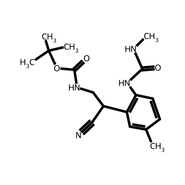 CNC(=O)Nc1ccc(C)cc1C(C#N)CNC(=O)OC(C)(C)C